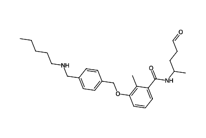 CCCCCNCc1ccc(COc2cccc(C(=O)NC(C)CCC=O)c2C)cc1